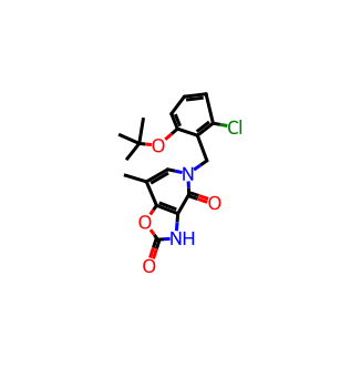 Cc1cn(Cc2c(Cl)cccc2OC(C)(C)C)c(=O)c2[nH]c(=O)oc12